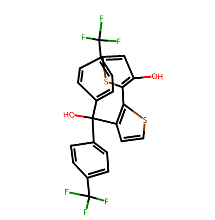 Oc1ccsc1-c1sccc1C(O)(c1ccc(C(F)(F)F)cc1)c1ccc(C(F)(F)F)cc1